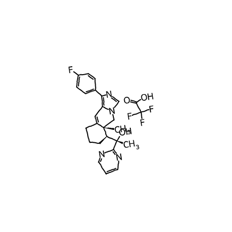 C[C@]12Cn3cnc(-c4ccc(F)cc4)c3C=C1CCC[C@@H]2[C@](C)(O)c1ncccn1.O=C(O)C(F)(F)F